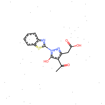 CC(=O)c1c(CC(=O)O)nn(-c2nc3ccccc3s2)c1O